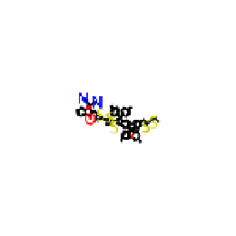 Cc1ccc(C2(c3ccc(C)cc3)c3cc4c(cc3-c3cc5cc(-c6cccs6)sc5cc32)C(c2ccc(C)cc2)(c2ccc(C)cc2)c2c-4sc3cc(-c4ccc(/C=C5\C(=O)c6ccccc6C5=C(C#N)C#N)s4)sc23)cc1